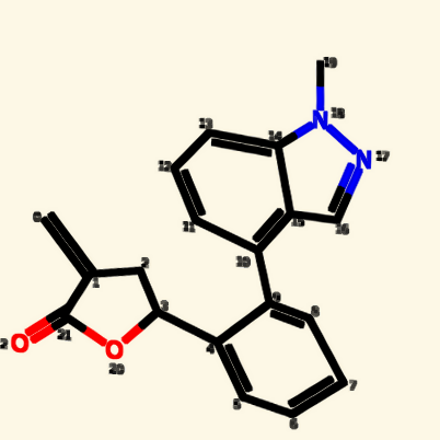 C=C1CC(c2ccccc2-c2cccc3c2cnn3C)OC1=O